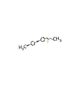 CC#Cc1ccc(C#Cc2ccc(C=C(F)CCC)cc2)cc1